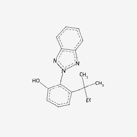 CCC(C)(C)c1cccc(O)c1-n1nc2ccccc2n1